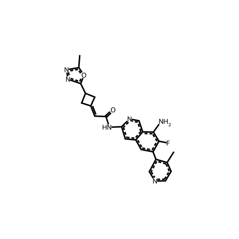 Cc1nnc(C2CC(=CC(=O)Nc3cc4cc(-c5cnccc5C)c(F)c(N)c4cn3)C2)o1